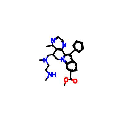 CNCCN(C)CC1Cn2c(c(-c3ccccc3)c3ccc(C(=O)OC)cc32)C2=C1C(C)N=CC=N2